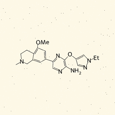 CCn1cc(Oc2nc(-c3cc4c(c(OC)c3)CCN(C)C4)cnc2N)cn1